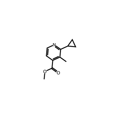 COC(=O)c1ccnc(C2CC2)c1C